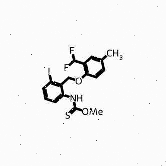 COC(=S)Nc1cccc(I)c1COc1ccc(C)cc1C(F)F